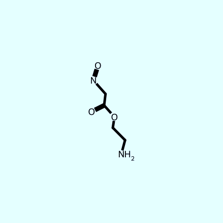 NCCOC(=O)CN=O